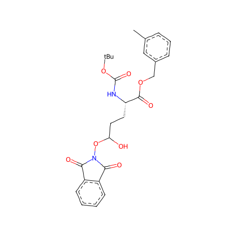 Cc1cccc(COC(=O)[C@H](CCC(O)ON2C(=O)c3ccccc3C2=O)NC(=O)OC(C)(C)C)c1